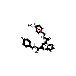 O=C(NCc1ccc(F)cc1)c1cc(C(=O)NCC23CCC(C(=O)O)(CC2)CC3)n2nccc2n1